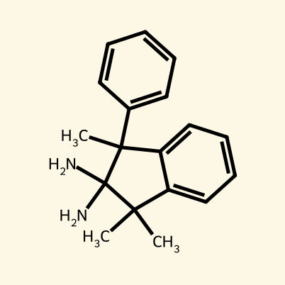 CC1(C)c2ccccc2C(C)(c2ccccc2)C1(N)N